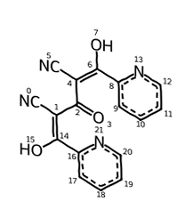 N#C/C(C(=O)/C(C#N)=C(/O)c1ccccn1)=C(\O)c1ccccn1